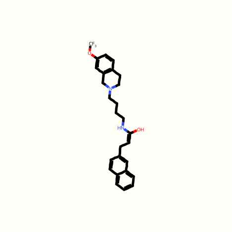 O/C(=C/Cc1ccc2ccccc2c1)NCCCCN1CCc2ccc(OC(F)(F)F)cc2C1